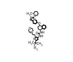 C[C@H]1CCCCN1c1nnc2ccc(O[C@@H]3CC[C@H](NC(=O)Nc4cc(C(C)(C)C)nn4CCN4CCOCC4)c4ccccc43)cn12